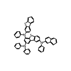 c1ccc(N(c2ccc3ccccc3c2)c2ccc3sc4c(N(c5ccccc5)c5ccc6c(c5)sc5ccccc56)cc(N(c5ccccc5)c5ccccc5)cc4c3c2)cc1